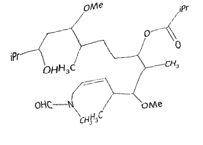 COC(CC(O)C(C)C)C(C)CCC(OC(=O)C(C)C)C(C)C(OC)C(C)C=CN(C)C=O